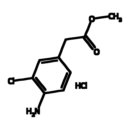 COC(=O)Cc1ccc(N)c(Cl)c1.Cl